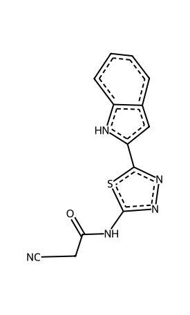 N#CCC(=O)Nc1nnc(-c2cc3ccccc3[nH]2)s1